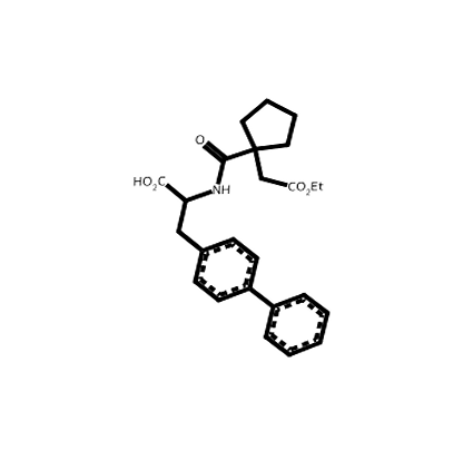 CCOC(=O)CC1(C(=O)NC(Cc2ccc(-c3ccccc3)cc2)C(=O)O)CCCC1